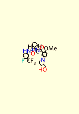 COc1ccc(N2CCCC(CO)C2)cc1C(=O)N[C@H]1[C@H](C(=O)Nc2ccc(F)c(C(F)(F)F)c2)[C@H]2CC[C@@H]1/C2=C\C(F)(F)F